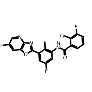 Cc1c(NC(=O)c2cccc(F)c2Cl)cc(F)cc1-c1nc2ncc(Br)cc2o1